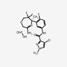 Cn1cc(Cl)c(C(=O)Nc2ccc(F)c([C@@]3(C)N=C(N)COCC3(F)F)c2)n1.O=CO